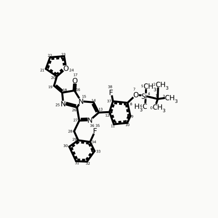 CC(C)(C)[Si](C)(C)Oc1cccc(C2=CN3C(=O)/C(=C\c4ccco4)N=C3C(Cc3ccccc3F)=N2)c1F